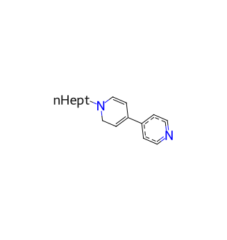 CCCCCCCN1C=CC(c2ccncc2)=CC1